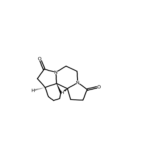 O=C1CC[C@H]2N1CCN1C(=O)C[C@@H]3CCCC[C@]321